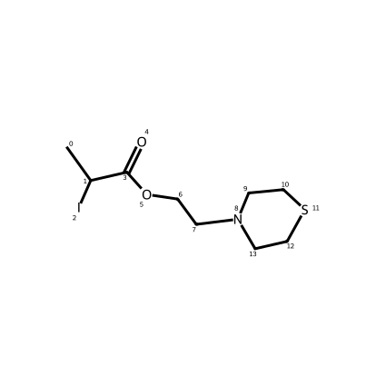 CC(I)C(=O)OCCN1CCSCC1